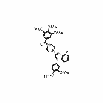 CCCOc1ccc(/C(=C/C(=O)N2CCN(C(=O)c3cc(OC)c(OC)c(OC)c3)CC2)c2cccc(C)c2)cc1OC